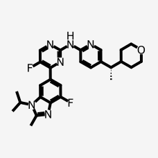 Cc1nc2c(F)cc(-c3nc(Nc4ccc([C@@H](C)C5CCOCC5)cn4)ncc3F)cc2n1C(C)C